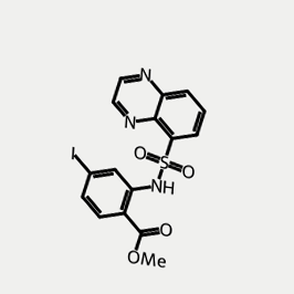 COC(=O)c1ccc(I)cc1NS(=O)(=O)c1cccc2nccnc12